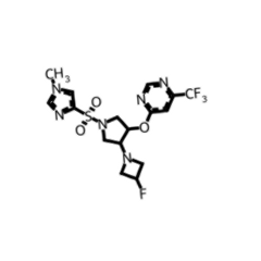 Cn1cnc(S(=O)(=O)N2CC(Oc3cc(C(F)(F)F)ncn3)C(N3CC(F)C3)C2)c1